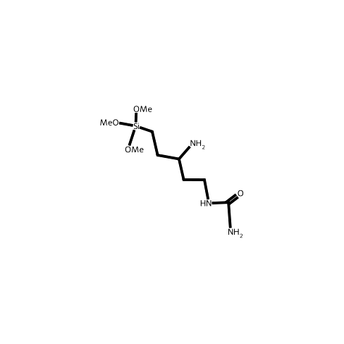 CO[Si](CCC(N)CCNC(N)=O)(OC)OC